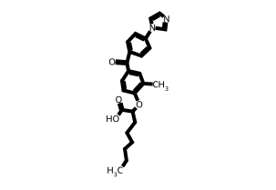 CCCCCCC(Oc1ccc(C(=O)c2ccc(-n3ccnc3)cc2)cc1C)C(=O)O